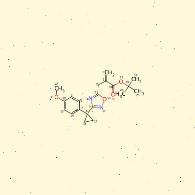 C=C(Cc1nc(C2(c3ccc(OC)cc3)CC2)no1)C(=O)OC(C)(C)C